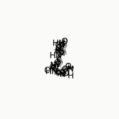 CNC(=O)COc1cc2cc(Nc3nc(N4CCCC(CCNc5cccc6c(C7CCC(=O)NC7=O)nn(C)c56)C4)ncc3Cl)ccc2n(C)c1=O